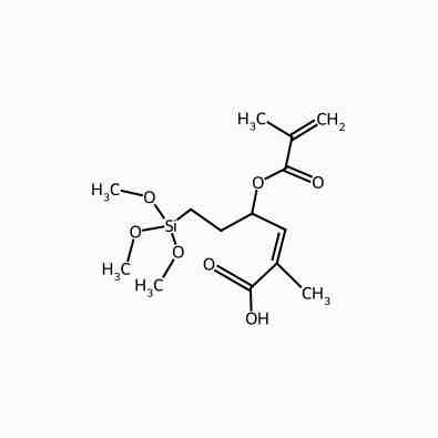 C=C(C)C(=O)OC(C=C(C)C(=O)O)CC[Si](OC)(OC)OC